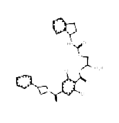 O=C(NCC(NC(=O)c1c(Cl)cc(C(=O)N2CC(c3ccccc3)C2)cc1Cl)C(=O)O)NC1CCc2ccccc21